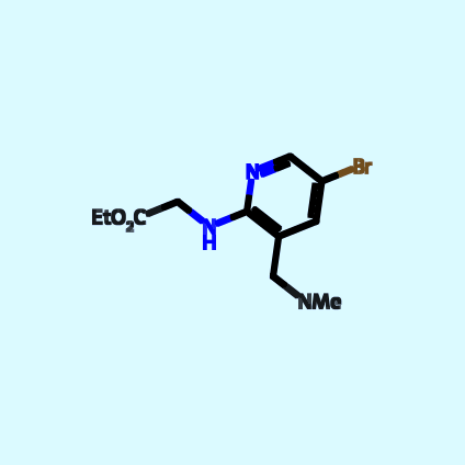 CCOC(=O)CNc1ncc(Br)cc1CNC